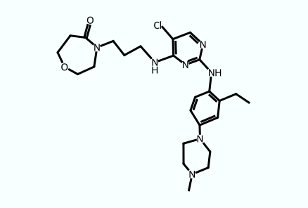 CCc1cc(N2CCN(C)CC2)ccc1Nc1ncc(Cl)c(NCCCN2CCOCCC2=O)n1